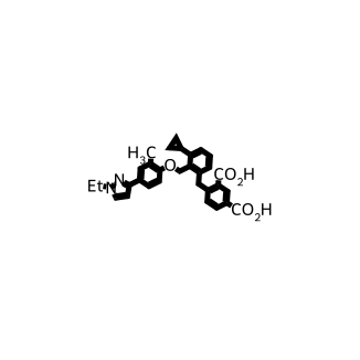 CCn1ccc(-c2ccc(OCc3c(Cc4ccc(C(=O)O)cc4C(=O)O)cccc3C3CC3)c(C)c2)n1